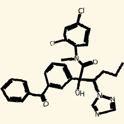 CCCC(n1cncn1)C(O)(C(=O)N(C)c1ccc(Cl)cc1Cl)c1cccc(C(=O)c2ccccc2)c1